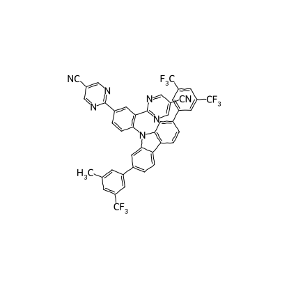 Cc1cc(-c2ccc3c4ccc(-c5cc(C(F)(F)F)cc(C(F)(F)F)c5)cc4n(-c4ccc(-c5ncc(C#N)cn5)cc4-c4ncc(C#N)cn4)c3c2)cc(C(F)(F)F)c1